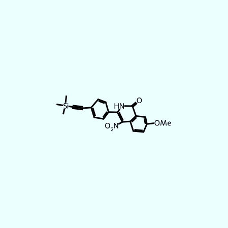 COc1ccc2c([N+](=O)[O-])c(-c3ccc(C#C[Si](C)(C)C)cc3)[nH]c(=O)c2c1